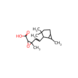 CC1C2CCC(C)(C)C(/C=C/C3(C)OC3C(=O)O)C12